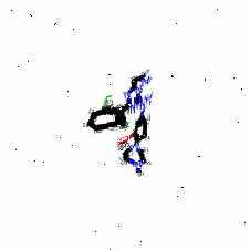 CC(C)Oc1cc(Nc2nc(-c3c(F)cccc3F)nc3ccnn23)ccc1N1CCN(C)CC1